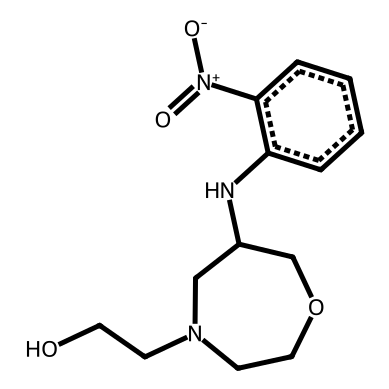 O=[N+]([O-])c1ccccc1NC1COCCN(CCO)C1